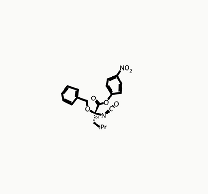 CC(C)C[C@](N=C=O)(OCc1ccccc1)C(=O)Oc1ccc([N+](=O)[O-])cc1